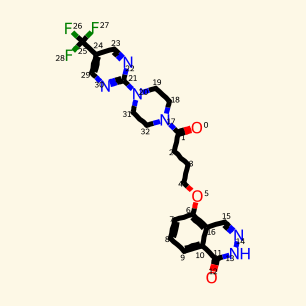 O=C(CCCOc1cccc2c(=O)[nH]ncc12)N1CCN(c2ncc(C(F)(F)F)cn2)CC1